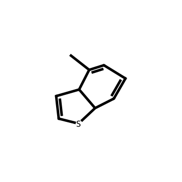 CC1=CC=CC2SC=CC12